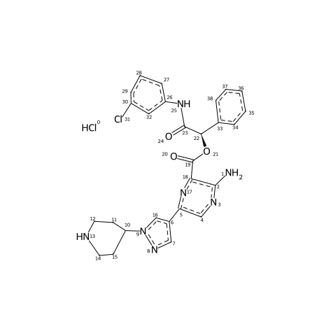 Cl.Nc1ncc(-c2cnn(C3CCNCC3)c2)nc1C(=O)O[C@@H](C(=O)Nc1cccc(Cl)c1)c1ccccc1